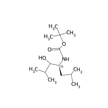 CC(C)C[C@H](NC(=O)OC(C)(C)C)C(O)C(C)C